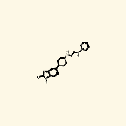 O=c1[nH]c2ccc(C3CCC(NCCNc4ccccc4)CC3)cc2o1